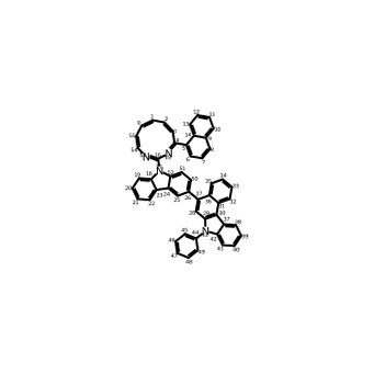 c1cccc(-c2cccc3ccccc23)nc(-n2c3ccccc3c3cc(-c4cc5c(c6ccccc46)c4ccccc4n5-c4ccccc4)ccc32)ncc1